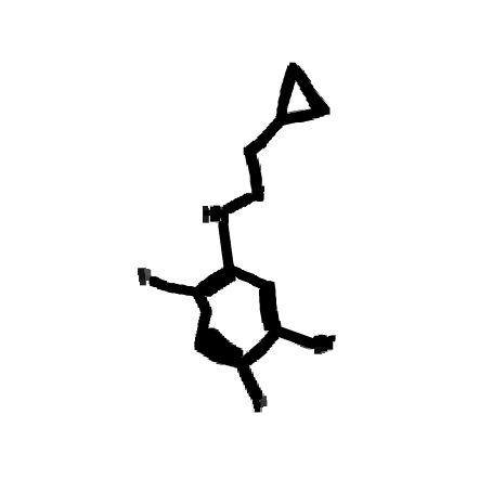 Fc1cc(F)c(NSCC2CC2)cc1Br